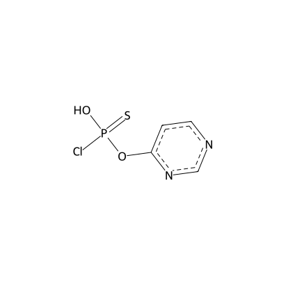 OP(=S)(Cl)Oc1ccncn1